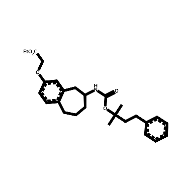 CCOC(=O)COc1ccc2c(c1)CC(NC(=O)OC(C)(C)CCc1ccccc1)CCC2